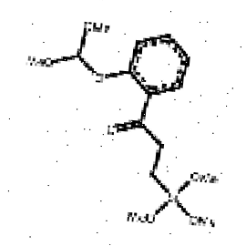 COC(OC)Oc1ccccc1C(=O)CC[Si](OC)(OC)OC